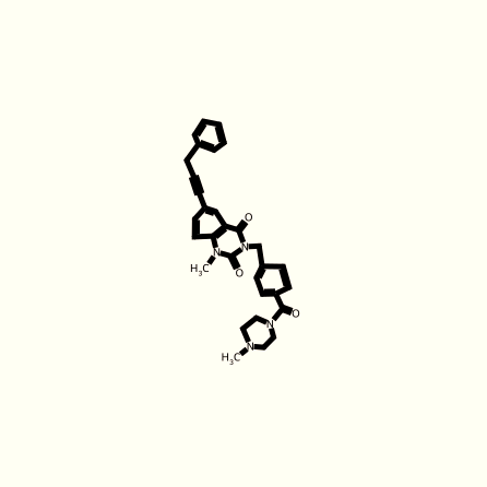 CN1CCN(C(=O)c2ccc(Cn3c(=O)c4cc(C#CCc5ccccc5)ccc4n(C)c3=O)cc2)CC1